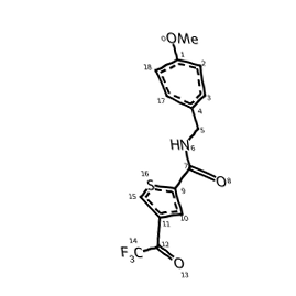 COc1ccc(CNC(=O)c2cc(C(=O)C(F)(F)F)cs2)cc1